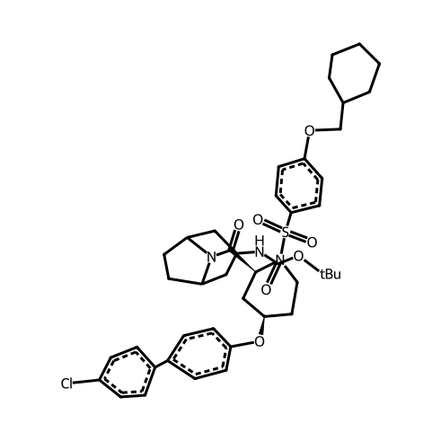 CC(C)(C)OC(=O)NC1CC2CCC(C1)N2C(=O)[C@@H]1C[C@H](Oc2ccc(-c3ccc(Cl)cc3)cc2)CCN1S(=O)(=O)c1ccc(OCC2CCCCC2)cc1